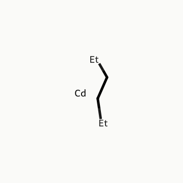 [CH2]CCCCC.[Cd]